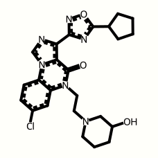 O=c1c2c(-c3noc(C4CCCC4)n3)ncn2c2ccc(Cl)cc2n1CCN1CCCC(O)C1